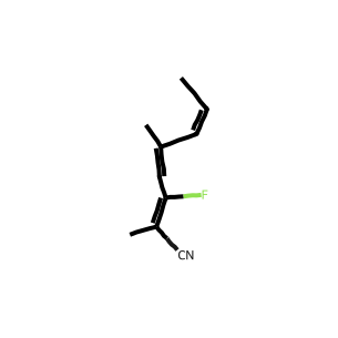 C\C=C/C(C)=C\C(F)=C(/C)C#N